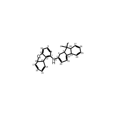 CC1(C)C2CC(Nc3cccc4c3C3C=CC=CC3O4)=CC=C2C2C=CC=CC21